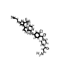 N#CCCn1cc(-c2cnc3c(Nc4ccc(C(=O)N5CCN(C(=O)CCN)CC5)c(Cl)c4)nccn23)c(C(F)(F)F)n1